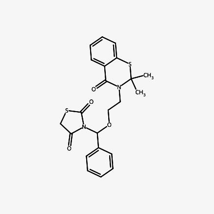 CC1(C)Sc2ccccc2C(=O)N1CCOC(c1ccccc1)N1C(=O)CSC1=O